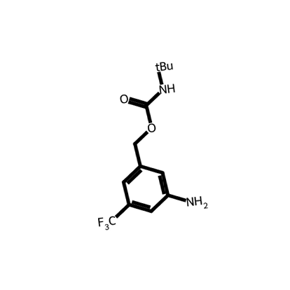 CC(C)(C)NC(=O)OCc1cc(N)cc(C(F)(F)F)c1